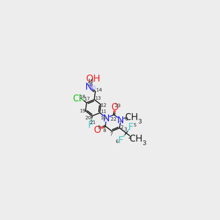 Cn1c(C(C)(F)F)cc(=O)n(-c2cc(/C=N/O)c(Cl)cc2F)c1=O